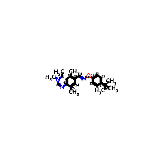 CCN(C)/C=N\c1cc(C)c(/C=N/Oc2ccc(C(C)(C)C)cc2)cc1C